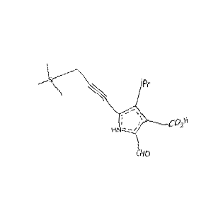 CC(C)c1c(C#CC[Si](C)(C)C)[nH]c(C=O)c1C(=O)O